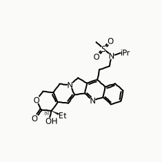 CC[C@@]1(O)C(=O)OCC2=C1C=C1c3nc4ccccc4c(CCN(C(C)C)S(C)(=O)=O)c3CN1C2